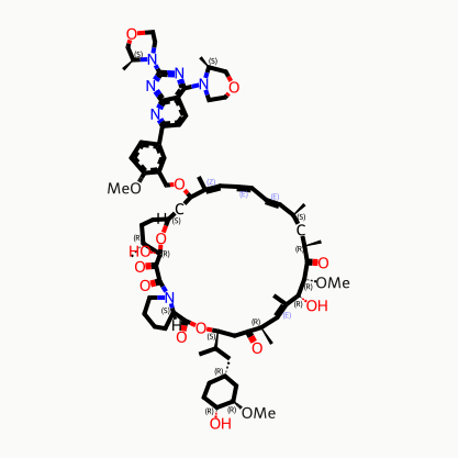 COc1ccc(-c2ccc3c(N4CCOC[C@@H]4C)nc(N4CCOC[C@@H]4C)nc3n2)cc1COC1C[C@@H]2CC[C@@H](C)[C@@](O)(O2)C(=O)C(=O)N2CCCC[C@H]2C(=O)O[C@H](C(C)C[C@H]2CC[C@@H](O)[C@H](OC)C2)CC(=O)[C@H](C)/C=C(\C)[C@@H](O)[C@@H](OC)C(=O)[C@H](C)C[C@H](C)/C=C/C=C/C=C\1C